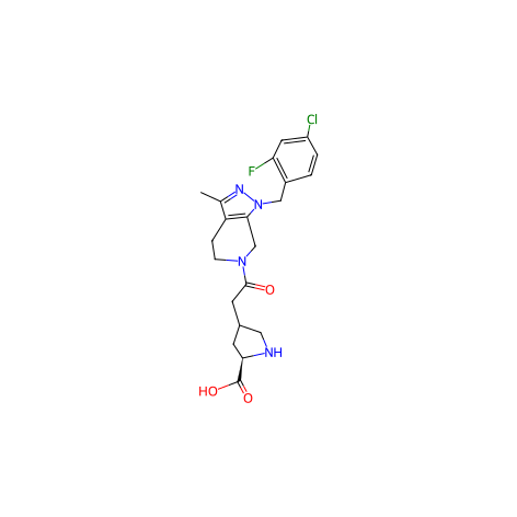 Cc1nn(Cc2ccc(Cl)cc2F)c2c1CCN(C(=O)CC1CN[C@@H](C(=O)O)C1)C2